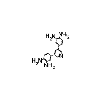 Nc1ccc(-c2cncc(-c3ccc(N)c(N)c3)c2)cc1N